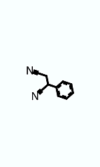 N#CCC(C#N)c1ccccc1